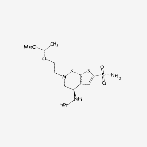 CCCN[C@H]1CN(CCOC(C)OC)Sc2sc(S(N)(=O)=O)cc21